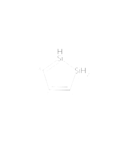 C1=C[SiH2][SiH]=C1